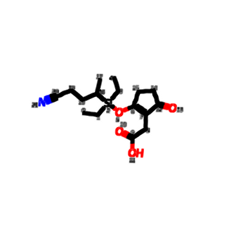 CC[Si](CC)(OC1=C(CC(=O)O)C(=O)CC1)C(C)CCC#N